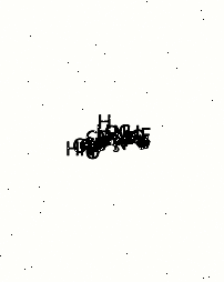 Cc1cc(Oc2ccccc2F)ccc1-n1ncc(C(=O)c2cc3cc(F)c(-n4c(C)cc(=O)[nH]c4=O)cc3[nH]2)c1N